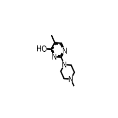 Cc1cnc(N2CCN(C)CC2)nc1O